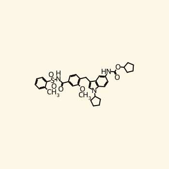 COc1cc(C(=O)NS(=O)(=O)c2ccccc2C)ccc1Cc1cn(C2CCCC2)c2ccc(NC(=O)OC3CCCC3)cc12